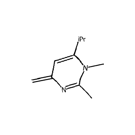 C=C1C=C(C(C)C)N(C)C(C)=N1